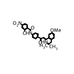 COc1ccc2c(c1)C(=CC(=O)c1ccc(NC(=O)c3ccc([N+](=O)[O-])cc3Cl)cc1)NC(C)(C)C2